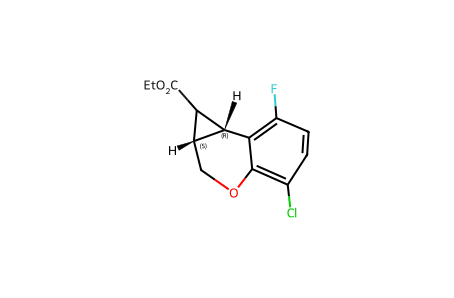 CCOC(=O)C1[C@H]2COc3c(Cl)ccc(F)c3[C@@H]12